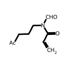 C=CC(=O)N(C=O)CCCC(C)=O